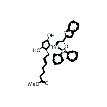 COC(=O)CCC/C=C/C[C@@H]1[C@@H](/C=C/[C@@H](O[Si](c2ccccc2)(c2ccccc2)C(C)(C)C)c2cc3ccccc3s2)[C@H](O)C[C@@H]1O